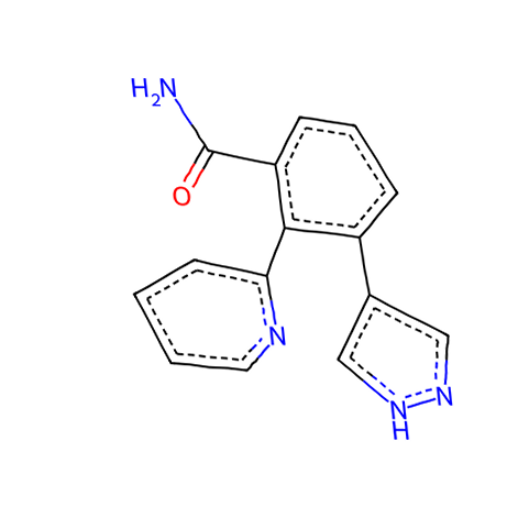 NC(=O)c1cccc(-c2cn[nH]c2)c1-c1ccccn1